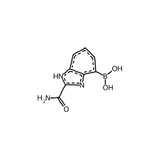 NC(=O)c1nc2c(B(O)O)cccc2[nH]1